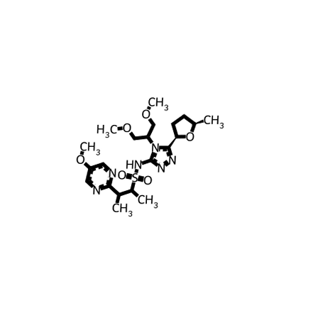 COCC(COC)n1c(NS(=O)(=O)C(C)C(C)c2ncc(OC)cn2)nnc1[C@H]1CC[C@@H](C)O1